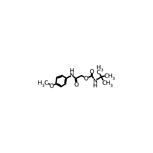 COc1ccc(NC(=O)COC(=O)NC(C)(C)C)cc1